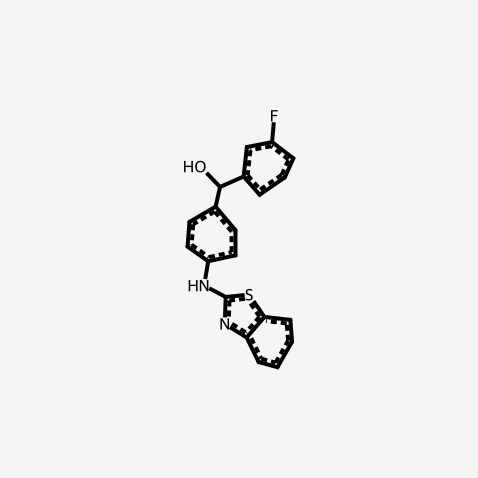 OC(c1ccc(Nc2nc3ccccc3s2)cc1)c1cccc(F)c1